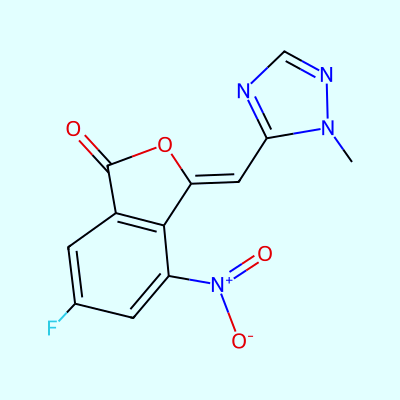 Cn1ncnc1C=C1OC(=O)c2cc(F)cc([N+](=O)[O-])c21